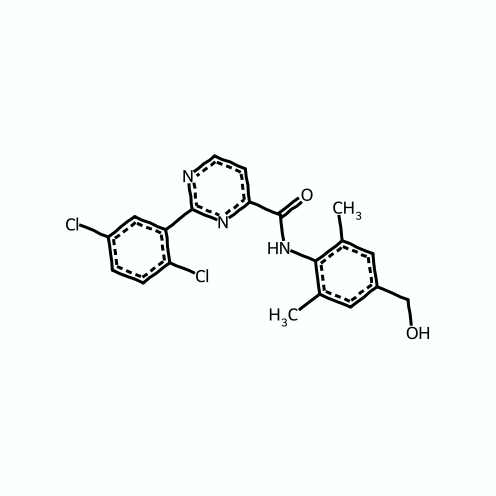 Cc1cc(CO)cc(C)c1NC(=O)c1ccnc(-c2cc(Cl)ccc2Cl)n1